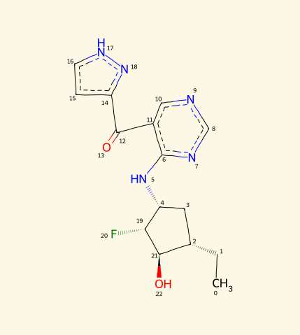 CC[C@H]1C[C@@H](Nc2ncncc2C(=O)c2cc[nH]n2)[C@@H](F)[C@@H]1O